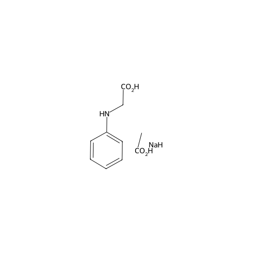 CC(=O)O.O=C(O)CNc1ccccc1.[NaH]